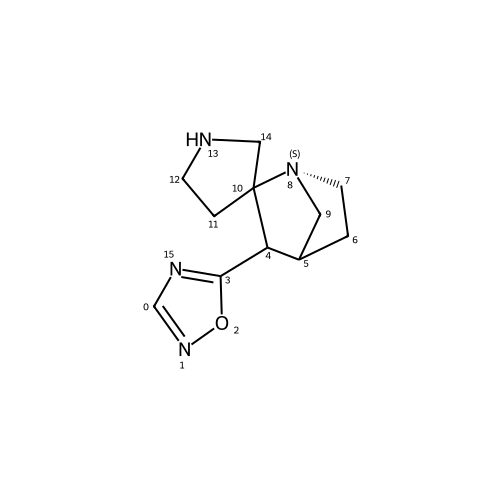 c1noc(C2C3CC[N@](C3)C23CCNC3)n1